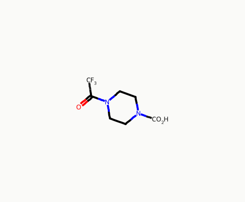 O=C(O)N1CCN(C(=O)C(F)(F)F)CC1